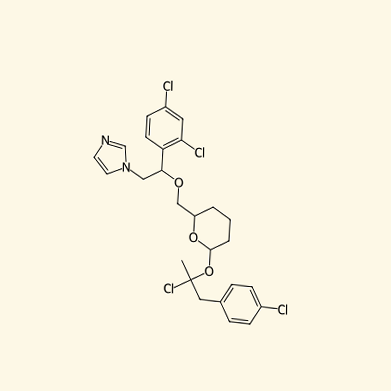 CC(Cl)(Cc1ccc(Cl)cc1)OC1CCCC(COC(Cn2ccnc2)c2ccc(Cl)cc2Cl)O1